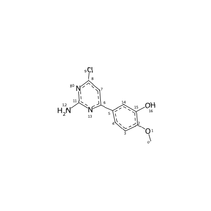 COc1ccc(-c2cc(Cl)nc(N)n2)cc1O